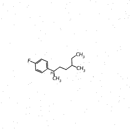 CCC(C)CC[C@@H](C)c1ccc(F)cc1